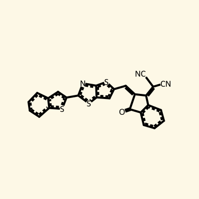 N#CC(C#N)=C1/C(=C/c2cc3sc(-c4cc5ccccc5s4)nc3s2)C(=O)c2ccccc21